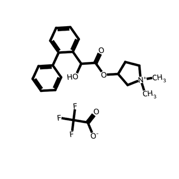 C[N+]1(C)CCC(OC(=O)C(O)c2ccccc2-c2ccccc2)C1.O=C([O-])C(F)(F)F